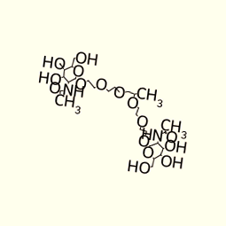 CC(=O)NC1C(O)[C@@H](O)C(CO)O[C@H]1OCCOCCOCC(C)OCCOCCO[C@@H]1OC(CO)[C@H](O)C(O)C1NC(C)=O